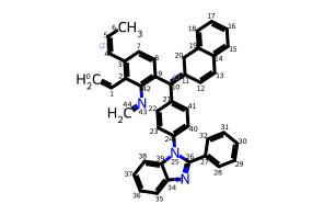 C=Cc1c(/C=C\C)ccc(/C(=C2/C=Cc3ccccc3C2)c2ccc(-n3c(-c4ccccc4)nc4ccccc43)cc2)c1N=C